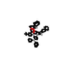 CC(C)(C)c1ccc(N2c3cc(N(c4ccccc4)c4ccccc4)ccc3B3c4sc5cc6c(cc5c4-c4cc(-c5cccc7c5sc5ccccc57)cc2c43)C(C)(C)CCC6(C)C)c(-c2ccccc2)c1